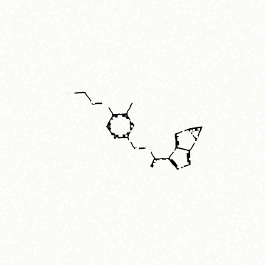 Cc1cc(CNC(=O)C2=CC=C3C2=CC2=CC23)ccc1OCCO